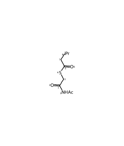 CC(=O)NC(=O)CSC(=O)CC(C)C